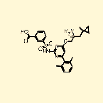 Cc1cccc(C)c1-c1cc(OC[C@@H](N)CC2(C)CC2)nc(NS(=O)(=O)c2cccc(C(=O)O)c2)n1